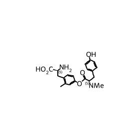 CN[C@@H](Cc1ccc(O)cc1)C(=O)Oc1ccc(C[C@H](N)C(=O)O)c(C)c1